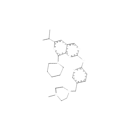 CCN1CCN(Cc2ccc(Nc3ncc4cc(C(C)O)nc(N5CCCCC5)c4n3)nc2)CC1